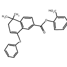 CC1(C)CC=C(Sc2ccccc2)c2cc(C(=O)Oc3ccccc3C(=O)O)ccc21